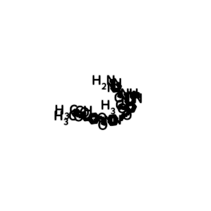 COc1c(OCCN2CCN(C(=O)Oc3ccc(CC(=O)OC(C)(C)C)cc3)CC2)ccc2c1N=C(NC(=O)c1cnc(N)nc1)N1CCN=C21